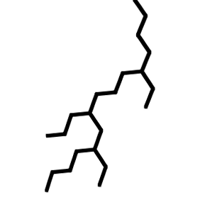 CCCCC(CC)CCCC(CCC)CC(CC)CCCC